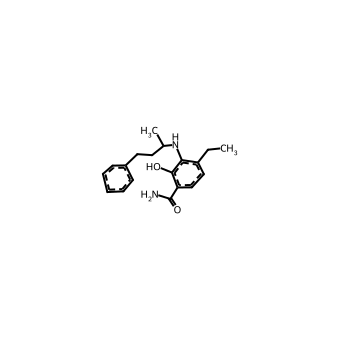 CCc1ccc(C(N)=O)c(O)c1NC(C)CCc1ccccc1